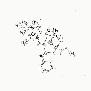 CCOP(=O)(CC(Nc1cccnc1)c1cc(OC)c(O[Si](C)(C)C(C)(C)C)c(OC)c1)OCC